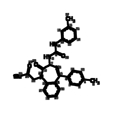 Cc1ccc(C2=NC(NC(=O)Nc3cccc(C)c3)C(=O)N(CC(=O)C(C)(C)C)c3ccccc32)cc1